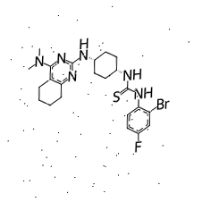 CN(C)c1nc(N[C@H]2CC[C@@H](NC(=S)Nc3ccc(F)cc3Br)CC2)nc2c1CCCC2